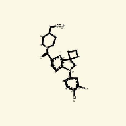 O=C(O)CC1CCN(C(=O)c2ccc3c(n2)C2(CCC2)CN3c2ccc(Cl)c(F)c2)CC1